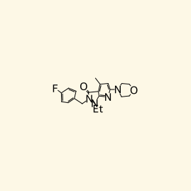 CCn1c2nc(N3CCOCC3)cc(C)c2c(=O)n1Cc1ccc(F)cc1